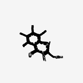 Cc1c(C)c(C)c2c(=O)[nH]c(C(C)(C)C)nc2c1C